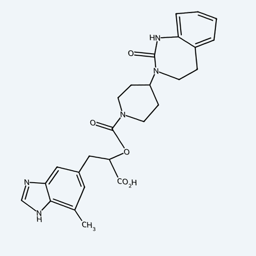 Cc1cc(CC(OC(=O)N2CCC(N3CCc4ccccc4NC3=O)CC2)C(=O)O)cc2nc[nH]c12